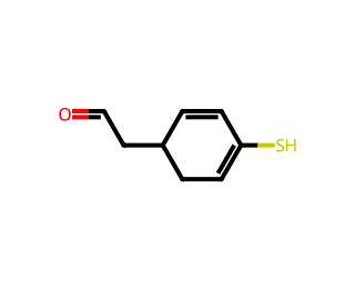 O=CCC1C=CC(S)=CC1